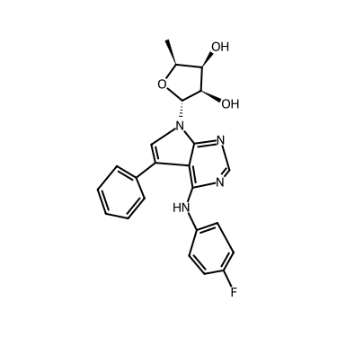 C[C@@H]1O[C@@H](n2cc(-c3ccccc3)c3c(Nc4ccc(F)cc4)ncnc32)[C@H](O)[C@@H]1O